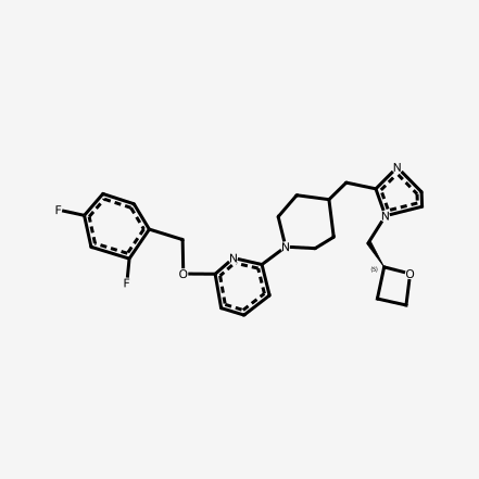 Fc1ccc(COc2cccc(N3CCC(Cc4nccn4C[C@@H]4CCO4)CC3)n2)c(F)c1